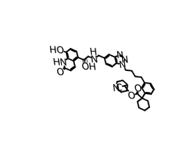 O=C(OC1CN2CCC1CC2)C1(c2cccc(CCCCn3nnc4cc(CNC[C@H](O)c5ccc(O)c6[nH]c(=O)ccc56)ccc43)c2)CCCCC1